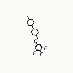 CC1CCC(C2CCC(COc3cc(F)c(F)c(F)c3)CC2)CC1